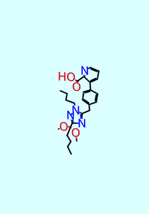 CCCCn1nc(C(CCCC)(OC)OC)nc1Cc1ccc(-c2cccnc2C(=O)O)cc1